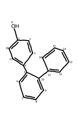 Oc1ccc(-c2ccccc2-c2ccccc2)cc1